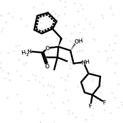 CC(C)(C)[C@](Cc1ccccc1)(OC(N)=O)[C@H](O)CNC1CCC(F)(F)CC1